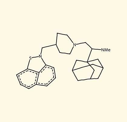 CNC(CN1CCC(CN2Sc3cccc4cccc2c34)CC1)C12CC3CC(CC(C3)C1)C2